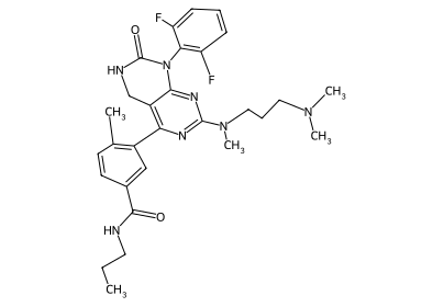 CCCNC(=O)c1ccc(C)c(-c2nc(N(C)CCCN(C)C)nc3c2CNC(=O)N3c2c(F)cccc2F)c1